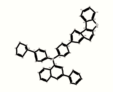 C1=CC2C=C(c3ccccc3)C=C(N(c3ccc(C4=CCCC=C4)cc3)c3ccc(-c4ccc5c(ccc6oc7ccccc7c65)c4)cc3)C2C=C1